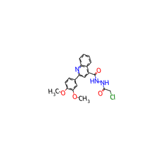 COc1ccc(-c2cc(C(=O)NNC(=O)CCl)c3ccccc3n2)cc1OC